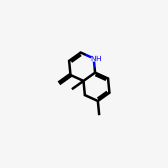 C=C1C=CNC2=CC=C(C)CC12C